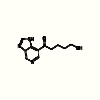 O=C(CCCCO)c1cncc2nc[nH]c12